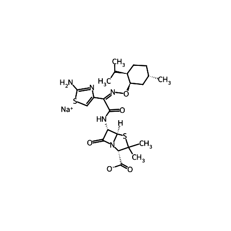 CC(C)[C@H]1CC[C@H](C)C[C@H]1O/N=C(\C(=O)N[C@H]1C(=O)N2[C@@H]1SC(C)(C)[C@@H]2C(=O)[O-])c1csc(N)n1.[Na+]